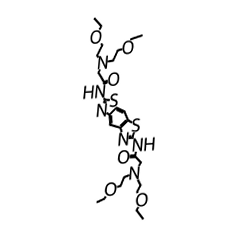 CCOCCN(CCOCC)CC(=O)Nc1nc2cc3nc(NC(=O)CN(CCOCC)CCOCC)sc3cc2s1